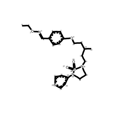 CCO/N=C/c1ccc(OCCC(C)CCN2CCN(c3ccncc3)S2(=O)=O)cc1